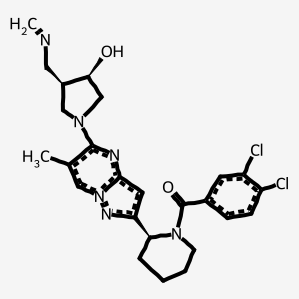 C=NC[C@@H]1CN(c2nc3cc([C@@H]4CCCCN4C(=O)c4ccc(Cl)c(Cl)c4)nn3cc2C)C[C@@H]1O